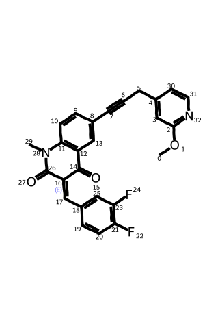 COc1cc(CC#Cc2ccc3c(c2)C(=O)/C(=C\c2ccc(F)c(F)c2)C(=O)N3C)ccn1